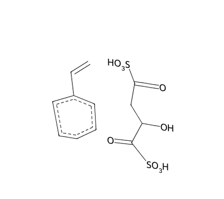 C=Cc1ccccc1.O=C(CC(O)C(=O)S(=O)(=O)O)S(=O)(=O)O